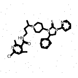 Cc1cc(Cl)nc(C)c1C(=O)NCCC(C)N1CCC(N2C(=S)N(c3ccccn3)CC2c2ccccc2)CC1